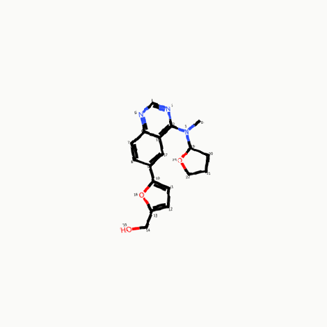 CN(c1ncnc2ccc(-c3ccc(CO)o3)cc12)C1CCCO1